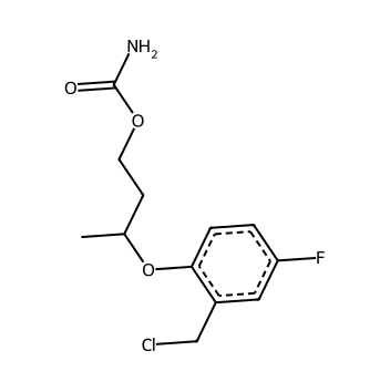 CC(CCOC(N)=O)Oc1ccc(F)cc1CCl